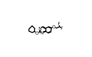 FC(F)COc1ccc2nc(OC3CCCCC3)ncc2c1